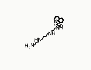 NCCCNCCCCNCCCNS(=O)(=O)c1cccc2cccnc12